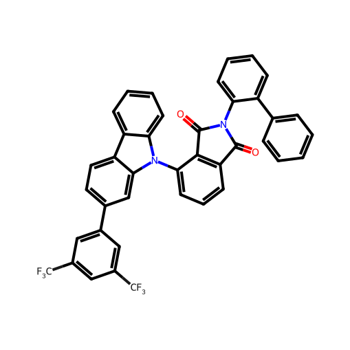 O=C1c2cccc(-n3c4ccccc4c4ccc(-c5cc(C(F)(F)F)cc(C(F)(F)F)c5)cc43)c2C(=O)N1c1ccccc1-c1ccccc1